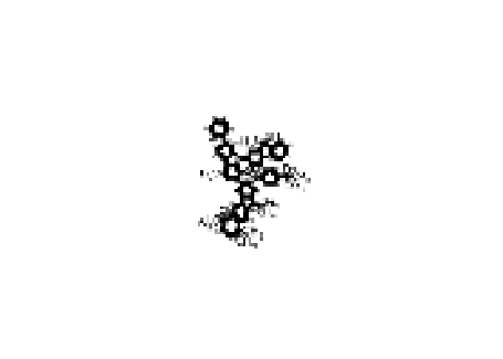 Cc1cc(-c2cc3c(cc2Nc2ccc(C(C)(C)C)cc2)C(C)(C)c2cc4c(cc2-3)C(C)(C)CCC4(C)C)c2c3c1c1cc4oc5ccccc5c4cc1n3-c1cc3c(cc1B2)-c1ccccc1C3(C)C